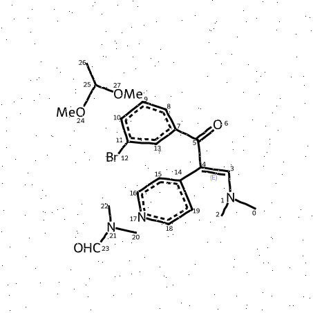 CN(C)/C=C(/C(=O)c1cccc(Br)c1)c1ccncc1.CN(C)C=O.COC(C)OC